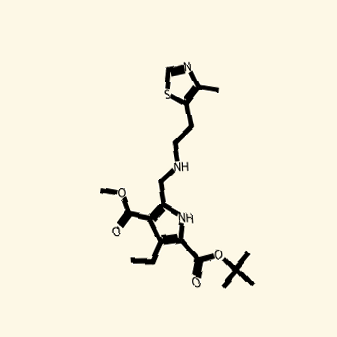 CCc1c(C(=O)OC(C)(C)C)[nH]c(CNCCc2scnc2C)c1C(=O)OC